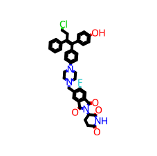 O=C1CCC(N2C(=O)c3cc(F)c(CN4CCN(c5ccc(C(=C(CCCl)c6ccccc6)c6ccc(O)cc6)cc5)CC4)cc3C2=O)C(=O)N1